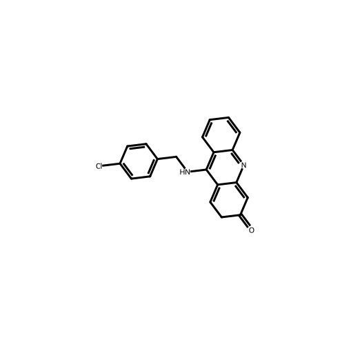 O=C1C=c2nc3ccccc3c(NCc3ccc(Cl)cc3)c2=CC1